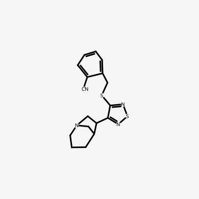 N#Cc1ccccc1CSc1nsnc1C1CN2CCCC1C2